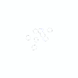 O=P(c1ccccc1)(c1ccccc1)c1ccc(-c2c3ncccc3c(-c3ccccc3)c3ncc4ccccc4c23)cc1